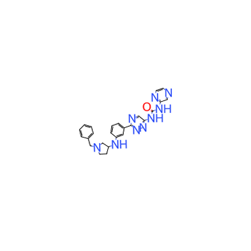 O=C(Nc1cnccn1)Nc1cnc(-c2cccc(NC3CCN(Cc4ccccc4)C3)c2)nn1